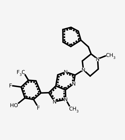 CN1CCN(c2ncc3c(-c4cc(C(F)(F)F)c(F)c(O)c4F)nn(C)c3n2)CC1Cc1ccccc1